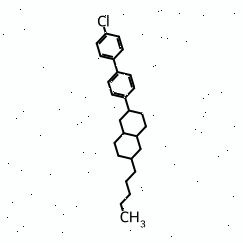 CCCCCC1CCC2CC(c3ccc(-c4ccc(Cl)cc4)cc3)CCC2C1